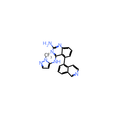 Nc1nc(Nc2ccnn2C(F)(F)F)c2c(-c3cccc4cnccc34)cccc2n1